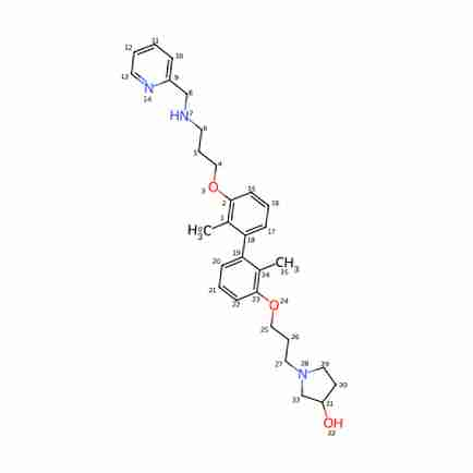 Cc1c(OCCCNCc2ccccn2)cccc1-c1cccc(OCCCN2CCC(O)C2)c1C